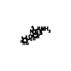 Cc1nc2c(OCc3ccccc3)cccn2c1CC(N)=S